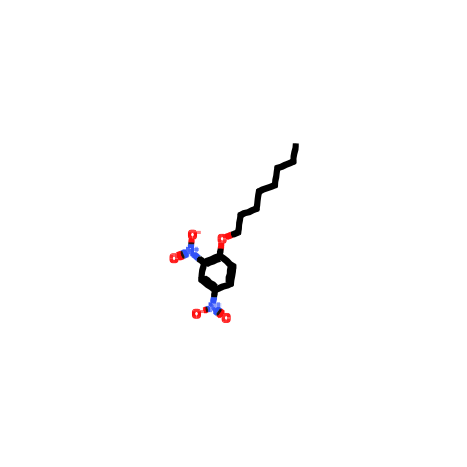 CCCCCCCCOc1ccc([N+](=O)[O-])cc1[N+](=O)[O-]